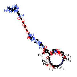 CO[C@H]1CC2CCC[C@@](O)(O2)C(=O)C(=O)N2CCCC[C@H]2C(=O)O[C@H](CC[C@@H]2CC[C@@H](OC(=O)NCc3cnc(N4CCN(c5ncc(C(=O)NCCOCCOCCOCCOCCC(=O)NCCCCn6nc(-c7cnc8[nH]ccc8c7)c7c(N)ncnc76)cn5)CC4)nc3)[C@H](OC)C2)CC(=O)[C@H](C)/C=C(\C)[C@@H](O)CC(=O)[C@H](C)C[C@H](C)/C=C/C=C/C=C/1C